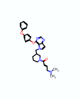 CN(C)C/C=C/C(=O)N1CCCC(Cn2ccc3ncnc(Oc4ccc(Oc5ccccc5)cc4)c32)C1